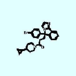 O=C(CCC1(c2ccc(Br)cc2)c2ccccc2-c2nccn21)N1CCC(C2CC2)CC1